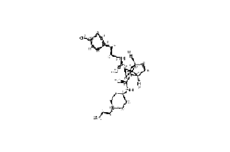 CC(C)CCN1CCC(NC(=O)[C@H]2[C@H](C(=O)NCCc3ccc(Cl)cc3)[C@@H]3C=C[C@H]2C32CC2)CC1